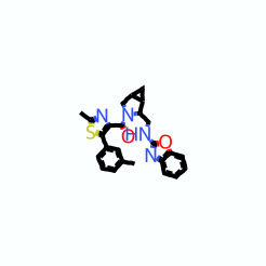 Cc1cccc(-c2sc(C)nc2C(=O)N2CC3CC3C2CNc2nc3ccccc3o2)c1